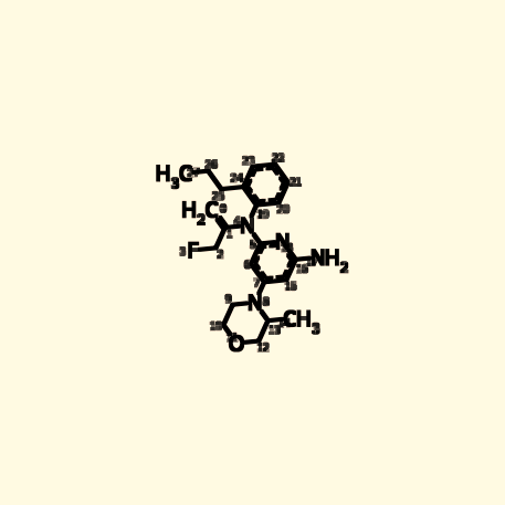 C=C(CF)N(c1cc(N2CCOCC2C)cc(N)n1)c1ccccc1CCC